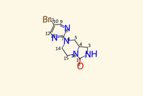 O=C1NCC2CN(c3ncc(Br)cn3)CCN12